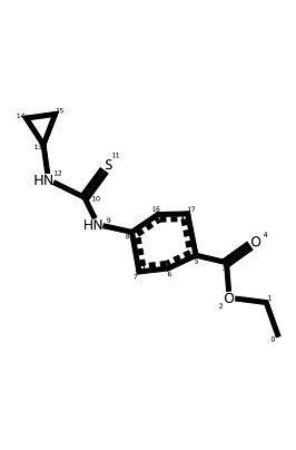 CCOC(=O)c1ccc(NC(=S)NC2CC2)cc1